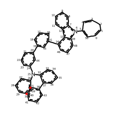 C1=CCC=CC(n2c3ccccc3c3c(-c4cccc(-c5cccc(N(c6ccccc6)c6ccccc6-c6ccccc6)c5)c4)cccc32)=C1